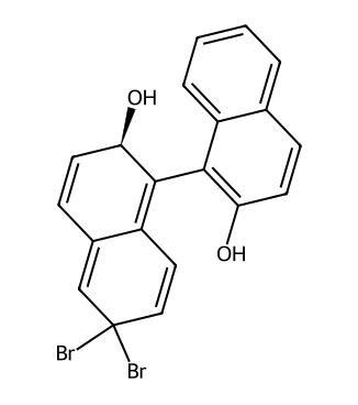 Oc1ccc2ccccc2c1C1=C2C=CC(Br)(Br)C=C2C=C[C@H]1O